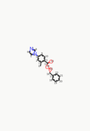 Cc1cc(-n2ccnc2)ccc1C(=O)OOCc1ccccc1